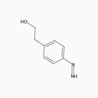 N=Nc1ccc(CCO)cc1